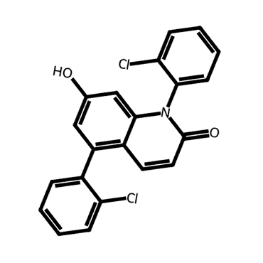 O=c1ccc2c(-c3ccccc3Cl)cc(O)cc2n1-c1ccccc1Cl